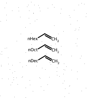 C=CCCCCCC.C=CCCCCCCCC.C=CCCCCCCCCCC